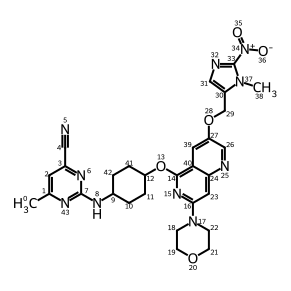 Cc1cc(C#N)nc(NC2CCC(Oc3nc(N4CCOCC4)cc4ncc(OCc5cnc([N+](=O)[O-])n5C)cc34)CC2)n1